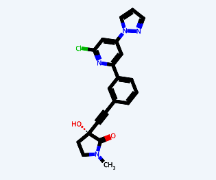 CN1CC[C@@](O)(C#Cc2cccc(-c3cc(-n4cccn4)cc(Cl)n3)c2)C1=O